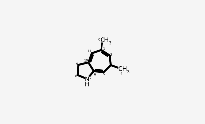 CC1=CC(C)C=C2NCCC2=C1